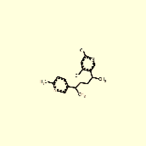 Cc1ccc(C(C)CCC(C)c2cnc(Cl)cc2Cl)cn1